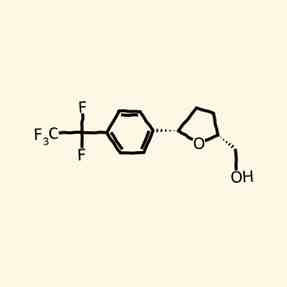 OC[C@H]1CC[C@@H](c2ccc(C(F)(F)C(F)(F)F)cc2)O1